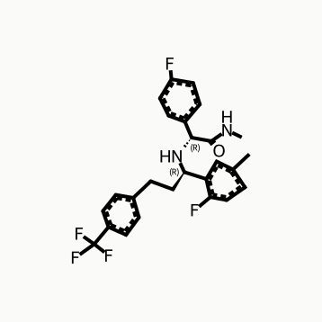 CNC(=O)[C@H](N[C@H](CCc1ccc(C(F)(F)F)cc1)c1cc(C)ccc1F)c1ccc(F)cc1